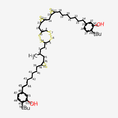 CC(CCC1CSSCC(CC2SC2CC2SC2CCCCCCCc2ccc(C(C)(C)C)c(O)c2)SS1)CC1SC1CCCCCCCc1ccc(C(C)(C)C)c(O)c1